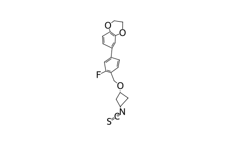 Fc1cc(-c2ccc3c(c2)OCCO3)ccc1CO[C@H]1C[C@@H](N=C=S)C1